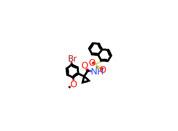 COc1ccc(Br)cc1C1(C(=O)NS(=O)(=O)c2cccc3ccccc23)CC1